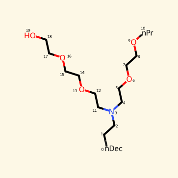 CCCCCCCCCCCCN(CCOCCOCCC)CCOCCOCCO